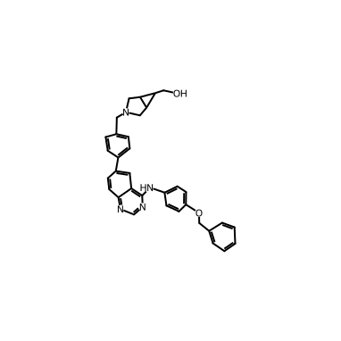 OCC1C2CN(Cc3ccc(-c4ccc5ncnc(Nc6ccc(OCc7ccccc7)cc6)c5c4)cc3)CC12